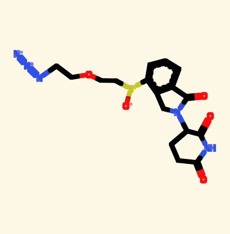 [N-]=[N+]=NCCOCC[S+]([O-])c1cccc2c1CN(C1CCC(=O)NC1=O)C2=O